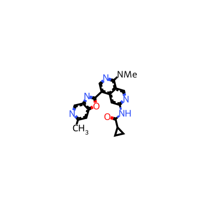 CNc1ncc(-c2nc3cnc(C)cc3o2)c2cc(NC(=O)C3CC3)ncc12